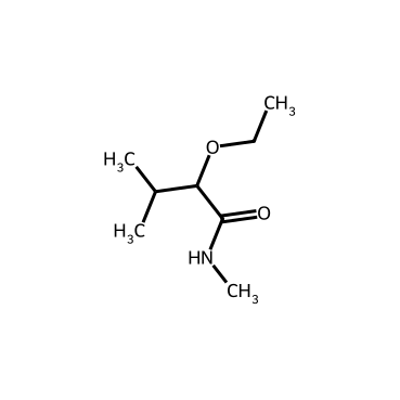 CCOC(C(=O)NC)C(C)C